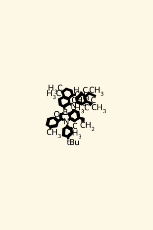 C=Cc1cc2c3c(c1)N(c1ccc(C(C)(C)C)cc1C)c1c(oc4ccc(C)cc14)B3c1ccc3c(c1N2c1ccc2c(c1)C(C)(C)CCC2(C)C)C(C)(C)CCC3(C)C